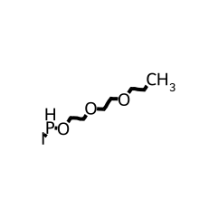 CCCOCCOCCOPI